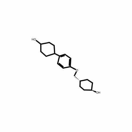 OC1CCC(c2ccc(OC[C@H]3CC[C@H](O)CC3)cc2)CC1